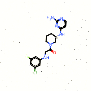 Nc1nccc(N[C@H]2CCCN(C(=O)CNc3cc(F)cc(Cl)c3)C2)n1